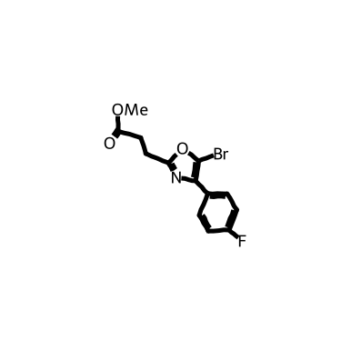 COC(=O)CCc1nc(-c2ccc(F)cc2)c(Br)o1